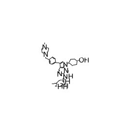 [2H]C([2H])([2H])[C@@H](CCC)Nc1ncc2c(-c3ccc(CN4CCN(C)CC4)cc3)cn(C3CCC(O)CC3)c2n1